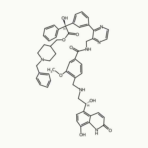 COc1cc(C(=O)NCc2nccnc2-c2cccc([C@](O)(C(=O)OCC3CCN(Cc4ccccc4)CC3)c3ccccc3)c2)ccc1CNC[C@H](O)c1ccc(O)c2[nH]c(=O)ccc12